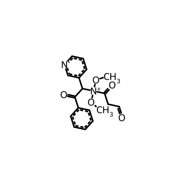 CO[N+](OC)(C(=O)CC=O)C(C(=O)c1ccccc1)c1cccnc1